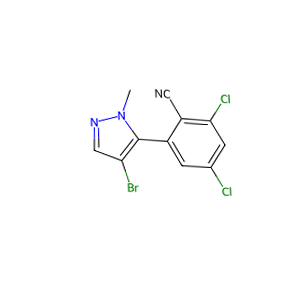 Cn1ncc(Br)c1-c1cc(Cl)cc(Cl)c1C#N